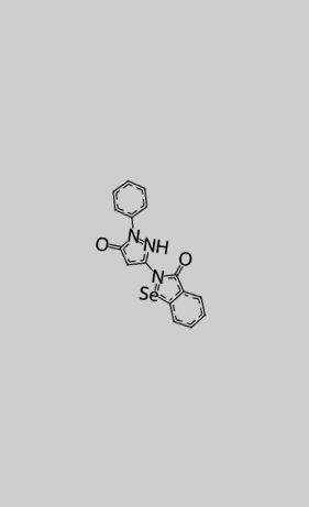 O=c1cc(-n2[se]c3ccccc3c2=O)[nH]n1-c1ccccc1